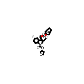 CCOC(=O)N1C2CCC1CC(N1CCC3(CC1)CN(C(=O)O[C@@H]1CCOC1)c1ccc(F)cc13)C2